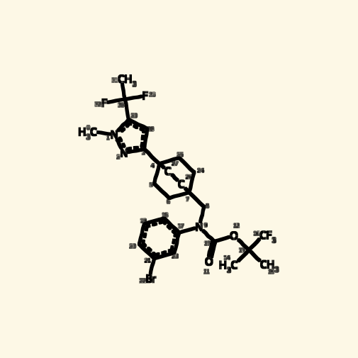 Cn1nc(C23CCC(CN(C(=O)OC(C)(C)C(F)(F)F)c4cccc(Br)c4)(CC2)CC3)cc1C(C)(F)F